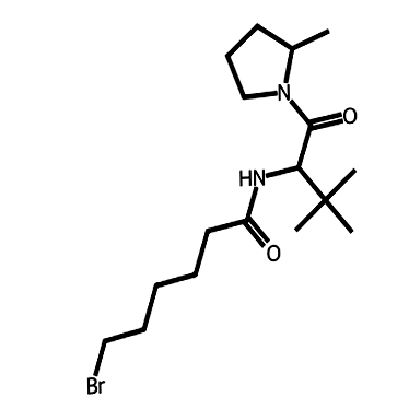 CC1CCCN1C(=O)C(NC(=O)CCCCCBr)C(C)(C)C